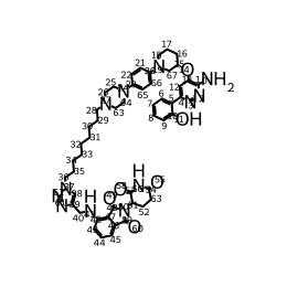 Nc1nnc(-c2ccccc2O)cc1O[C@H]1CCCN(c2ccc(N3CCN(CCCCCCCCCn4cc(CNc5cccc6c5C(=O)N(C5CCC(=O)NC5=O)C6=O)nn4)CC3)cc2)C1